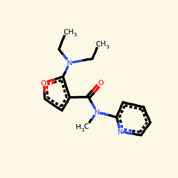 CCN(CC)c1occc1C(=O)N(C)c1ccccn1